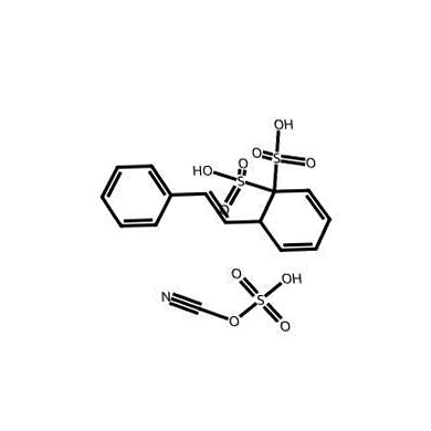 N#COS(=O)(=O)O.O=S(=O)(O)C1(S(=O)(=O)O)C=CC=CC1C=Cc1ccccc1